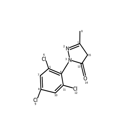 CC1=NN(c2c(Cl)cc(Cl)cc2Cl)C(=O)C1